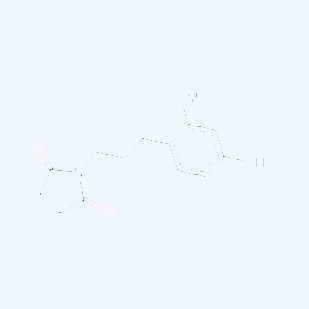 COc1cc(C=O)ccc1C=CCN1C(=O)CCC1=O